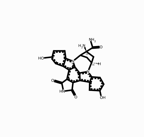 NC(=O)[C@]1(N)C[C@@H]2CC1n1c3ccc(O)cc3c3c4c(c5c6cc(O)ccc6n2c5c31)C(=O)NC4=O